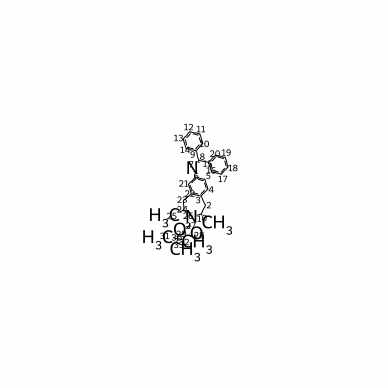 CC1Cc2ccc(N=C(c3ccccc3)c3ccccc3)cc2CC(C)N1C(=O)OC(C)(C)C